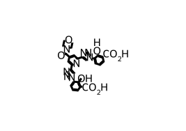 O=C(O)c1cccc(-n2cc(-c3cc(C(=O)N4CCOCC4)cc(-c4cn(-c5cccc(C(=O)O)c5O)nn4)n3)nn2)c1O